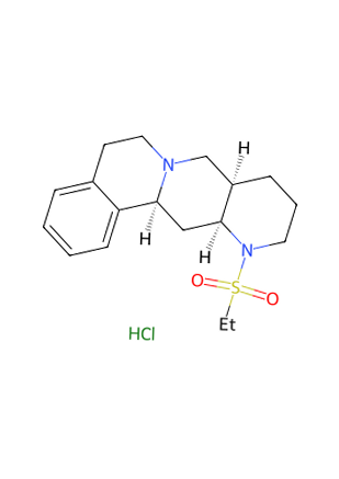 CCS(=O)(=O)N1CCC[C@@H]2CN3CCc4ccccc4[C@@H]3C[C@@H]21.Cl